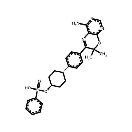 CC1(C)Oc2ncnc(N)c2N=C1c1ccc([C@H]2CC[C@H](OP(=O)(O)c3ccccc3)CC2)cc1